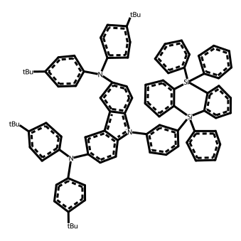 CC(C)(C)c1ccc(N(c2ccc(C(C)(C)C)cc2)c2ccc3c(c2)c2cc(N(c4ccc(C(C)(C)C)cc4)c4ccc(C(C)(C)C)cc4)ccc2n3-c2cccc([Si]3(c4ccccc4)c4ccccc4[Si](c4ccccc4)(c4ccccc4)c4ccccc43)c2)cc1